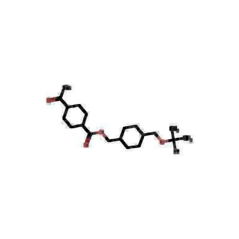 CCC(C)(C)OCC1CCC(COC(=O)C2CCC(C(=O)C(C)(C)C)CC2)CC1